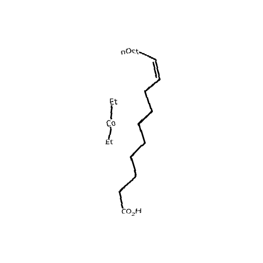 CCCCCCCC/C=C\CCCCCCCC(=O)O.C[CH2][Co][CH2]C